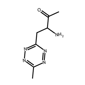 CC(=O)C(N)Cc1nnc(C)nn1